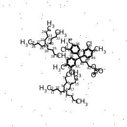 CCCC[N+](CCCC)(CCCC)CCCC.CCCC[N+](CCCC)(CCCC)CCCC.Cc1ccc(C(CCCOB([O-])[O-])(c2ccc(C)c(Cl)c2)c2ccc(C)c(Cl)c2)cc1Cl